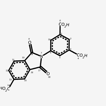 O=C(O)c1cc(C(=O)O)cc(N2C(=O)c3ccc(C(=O)O)cc3C2=O)c1